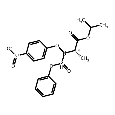 CC(C)OC(=O)[C@H](C)N(Oc1ccc([N+](=O)[O-])cc1)[PH](=O)Oc1ccccc1